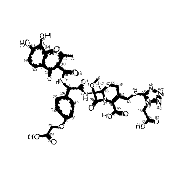 CO[C@@]1(NC(=O)C(NC(=O)c2c(C)oc3c(O)c(O)ccc3c2=O)c2ccc(OCC(=O)O)cc2)C(=O)N2C(C(=O)O)=C(CSc3nnnn3CC(=O)O)CS[C@@H]21